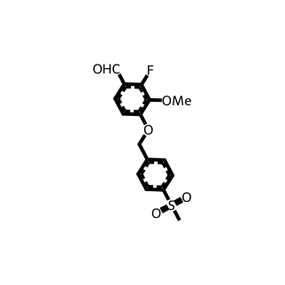 COc1c(OCc2ccc(S(C)(=O)=O)cc2)ccc(C=O)c1F